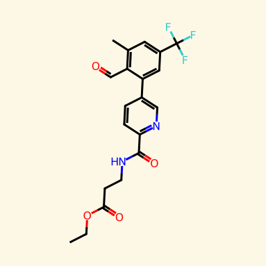 CCOC(=O)CCNC(=O)c1ccc(-c2cc(C(F)(F)F)cc(C)c2C=O)cn1